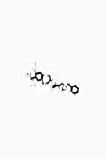 CN1C(=P)[C@@H](NC(=O)C2CN(Cc3ccccc3)C=N2)CSc2cc(N)c(C(=N)Cl)cc21